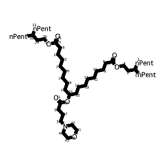 CCCCCC(CCCCC)CCOC(=O)CCCCCCCCC(CCCCCCCCC(=O)OCCC(CCCCC)CCCCC)OC(=O)CCCN1CCOCC1